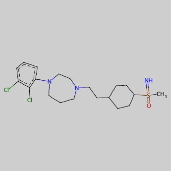 CS(=N)(=O)C1CCC(CCN2CCCN(c3cccc(Cl)c3Cl)CC2)CC1